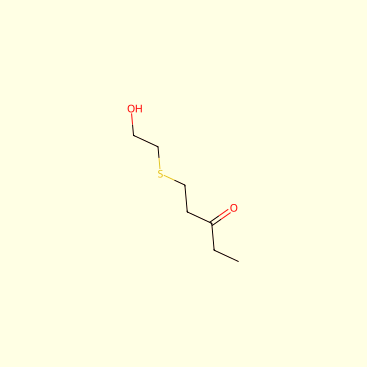 CCC(=O)CCSCCO